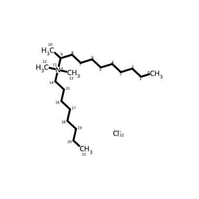 CCCCCCCCCC(C)[N+](C)(C)CCCCCCCC.[Cl-]